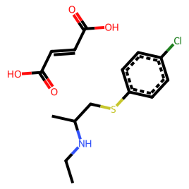 CCNC(C)CSc1ccc(Cl)cc1.O=C(O)/C=C/C(=O)O